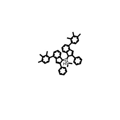 Cc1ccc(-c2cccc3c2C=C(c2ccccc2)[CH]3[Zr]([CH]2C(c3ccccc3)=Cc3c(-c4ccc(C)c(C)c4C)cccc32)[SiH](C)C)c(C)c1C